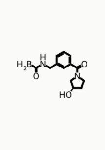 BC(=O)NCc1cccc(C(=O)N2CC[C@@H](O)C2)c1